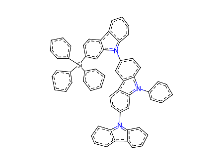 c1ccc(-n2c3ccc(-n4c5ccccc5c5ccc([Si](c6ccccc6)(c6ccccc6)c6ccccc6)cc54)cc3c3ccc(-n4c5ccccc5c5ccccc54)cc32)cc1